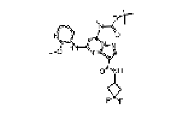 COc1ncccc1Nc1cc(N(C)C(=O)OC(C)(C)C)n2ncc(C(=O)NC3CC(F)(F)C3)c2n1